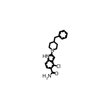 NC(=O)c1ccc2[nH]c(N3CCC(Cc4ccccc4)CC3)cc2c1Cl